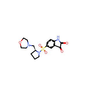 O=C1Nc2ccc(S(=O)(=O)N3CCC[C@H]3CN3CCOCC3)cc2C1=O